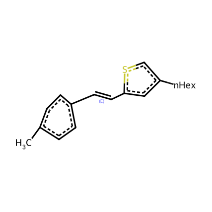 CCCCCCc1csc(/C=C/c2ccc(C)cc2)c1